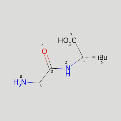 CCC(C)[C@H](NC(=O)CN)C(=O)O